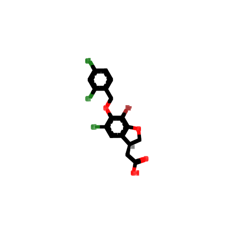 O=C(O)C[C@@H]1COc2c1cc(Cl)c(OCc1ccc(Cl)cc1Cl)c2Br